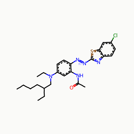 CCCCC(CC)CN(CC)c1ccc(/N=N/c2nc3ccc(Cl)cc3s2)c(NC(C)=O)c1